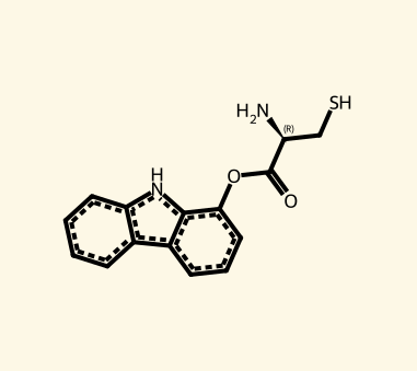 N[C@@H](CS)C(=O)Oc1cccc2c1[nH]c1ccccc12